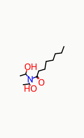 CCCCCCCC(=O)N(C(C)O)C(C)O